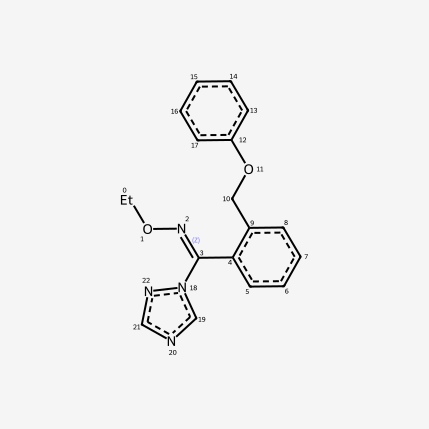 CCO/N=C(/c1ccccc1COc1ccccc1)n1cncn1